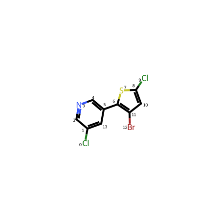 Clc1cncc(-c2sc(Cl)cc2Br)c1